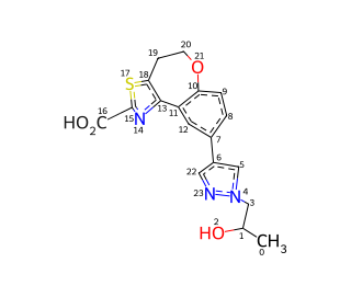 CC(O)Cn1cc(-c2ccc3c(c2)-c2nc(C(=O)O)sc2CCO3)cn1